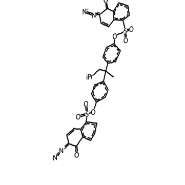 CC(C)CC(C)(c1ccc(OS(=O)(=O)c2cccc3c2C=CC(=[N+]=[N-])C3=O)cc1)c1ccc(OS(=O)(=O)c2cccc3c2C=CC(=[N+]=[N-])C3=O)cc1